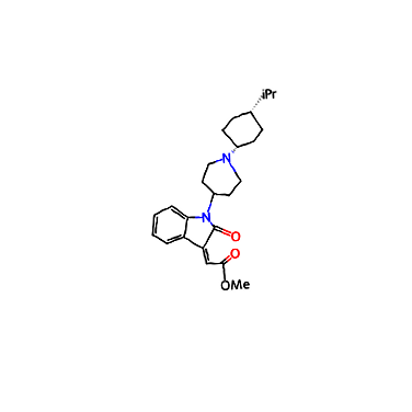 COC(=O)/C=C1\C(=O)N(C2CCN([C@H]3CC[C@@H](C(C)C)CC3)CC2)c2ccccc21